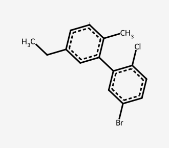 CCc1c[c]c(C)c(-c2cc(Br)ccc2Cl)c1